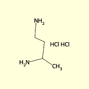 CC(N)CCN.Cl.Cl